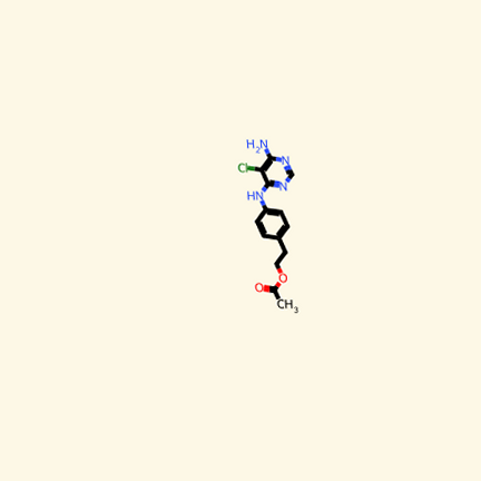 CC(=O)OCCc1ccc(Nc2ncnc(N)c2Cl)cc1